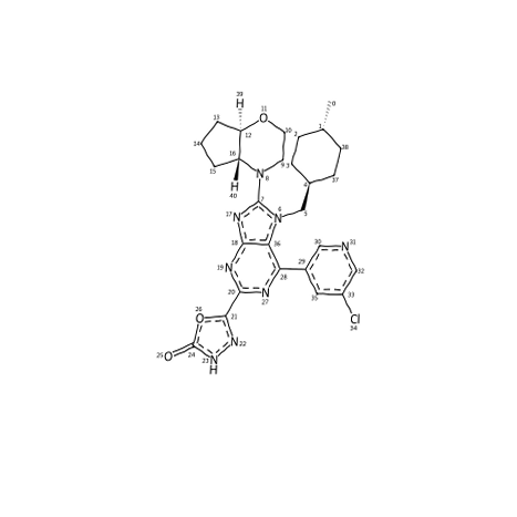 C[C@H]1CC[C@H](Cn2c(N3CCO[C@@H]4CCC[C@H]43)nc3nc(-c4n[nH]c(=O)o4)nc(-c4cncc(Cl)c4)c32)CC1